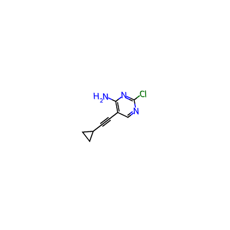 Nc1nc(Cl)ncc1C#CC1CC1